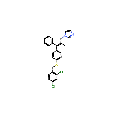 CC(Cn1ccnc1)=C(c1ccccc1)c1ccc(SCc2ccc(Cl)cc2Cl)cc1